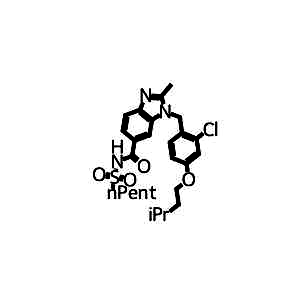 CCCCCS(=O)(=O)NC(=O)c1ccc2nc(C)n(Cc3ccc(OCCC(C)C)cc3Cl)c2c1